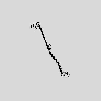 CCCCCCCCCCCCCCCCCCC(C=O)CCCCCCCCCCCCCCCCC